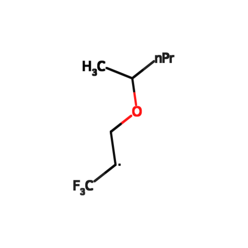 CCCC(C)OC[CH]C(F)(F)F